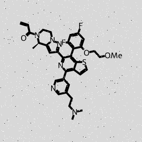 C=CC(=O)N1CCn2nc(-c3nc(-c4cncc(CCN(C)C)c4)c4ccsc4c3-c3c(F)cc(F)cc3OCCOC)cc2[C@H]1C